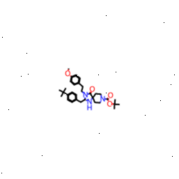 COc1ccc(CCN2C(=O)C3(CCN(C(=O)OC(C)(C)C)CC3)NC2Cc2ccc(C(C)(C)C)cc2)cc1